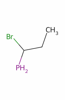 CCC(P)Br